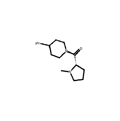 CC(C)C1CCN(C(=O)[C@@H]2CCCN2C)CC1